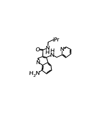 CC(C)CNC(=O)c1cnc2c(N)cccc2c1NCc1ccccn1